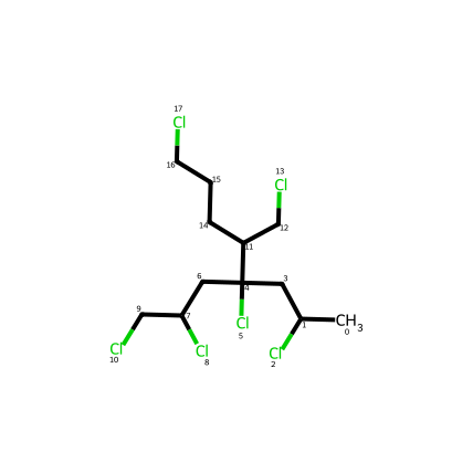 CC(Cl)CC(Cl)(CC(Cl)CCl)C(CCl)CCCCl